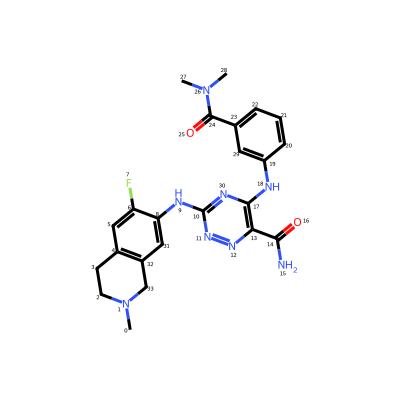 CN1CCc2cc(F)c(Nc3nnc(C(N)=O)c(Nc4cccc(C(=O)N(C)C)c4)n3)cc2C1